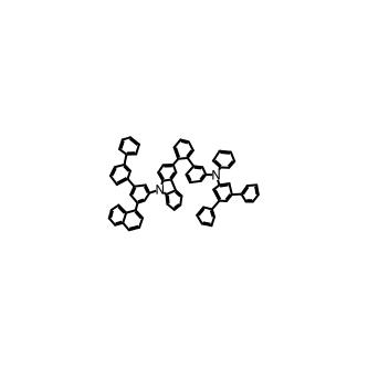 c1ccc(-c2cccc(-c3cc(-c4cccc5ccccc45)cc(-n4c5ccccc5c5cc(-c6ccccc6-c6cccc(N(c7ccccc7)c7cc(-c8ccccc8)cc(-c8ccccc8)c7)c6)ccc54)c3)c2)cc1